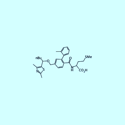 CCCCC(OCc1ccc(C(=O)NC(CCSC)C(=O)O)c(-c2ccccc2C)c1)c1sc(C)nc1C